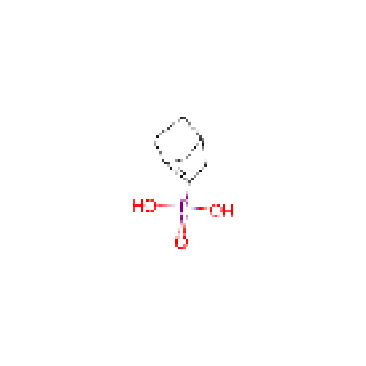 O=P(O)(O)C1=C2CCC(C2)C1